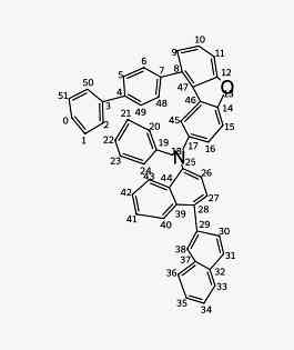 c1ccc(-c2ccc(-c3cccc4oc5ccc(N(c6ccccc6)c6ccc(-c7ccc8ccccc8c7)c7ccccc67)cc5c34)cc2)cc1